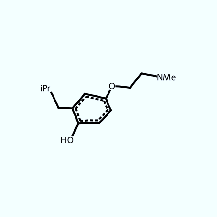 CNCCOc1ccc(O)c(CC(C)C)c1